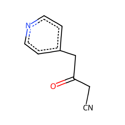 N#CCC(=O)Cc1ccncc1